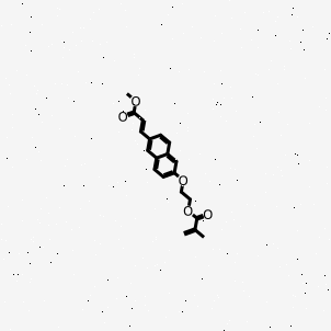 C=C(C)C(=O)OCCOc1ccc2cc(/C=C/C(=O)OC)ccc2c1